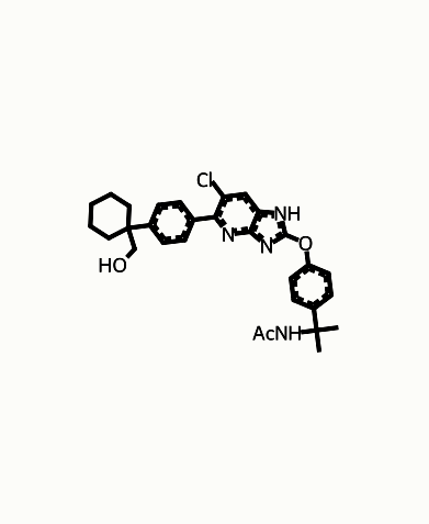 CC(=O)NC(C)(C)c1ccc(Oc2nc3nc(-c4ccc(C5(CO)CCCCC5)cc4)c(Cl)cc3[nH]2)cc1